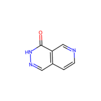 O=c1[nH]ncc2ccncc12